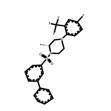 C[C@@H]1CN(c2ccc(F)cc2C(F)(F)F)CCN1S(=O)(=O)c1cccc(-c2ccccc2)c1